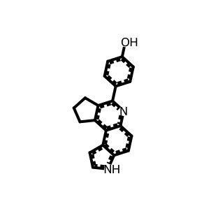 Oc1ccc(-c2nc3ccc4[nH]ccc4c3c3c2CCC3)cc1